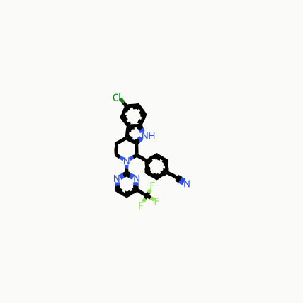 N#Cc1ccc(C2c3[nH]c4ccc(Cl)cc4c3CCN2c2nccc(C(F)(F)F)n2)cc1